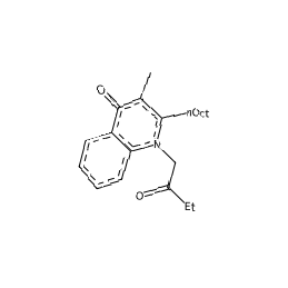 CCCCCCCCc1c(C)c(=O)c2ccccc2n1CC(=O)CC